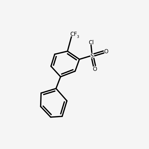 O=S(=O)(Cl)c1cc(-c2ccccc2)ccc1C(F)(F)F